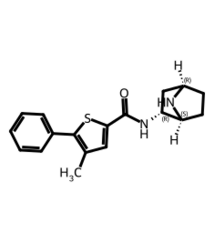 Cc1cc(C(=O)N[C@@H]2C[C@H]3CC[C@@H]2N3)sc1-c1ccccc1